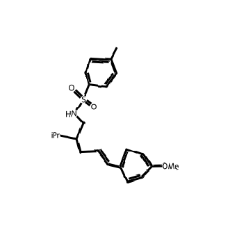 COc1ccc(C=CCC(CNS(=O)(=O)c2ccc(C)cc2)C(C)C)cc1